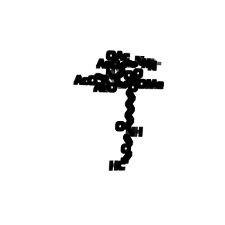 C#CCOCCNC(=O)CCCCCCO[C@]1(C(=O)OC)C[C@H](OC(C)=O)[C@@H](NC(=O)COC(C)=O)[C@H]([C@H](OC(C)=O)[C@@H](CN=[N+]=[N-])OC(C)=O)O1